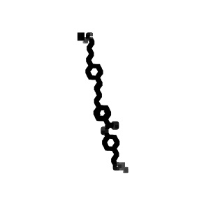 CCCCCC1CCC(C=CCCc2ccc(C(=O)OC3CCC(CCC)CC3)cc2)CC1